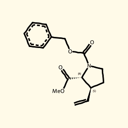 C=C[C@@H]1CCN(C(=O)OCc2ccccc2)[C@H]1C(=O)OC